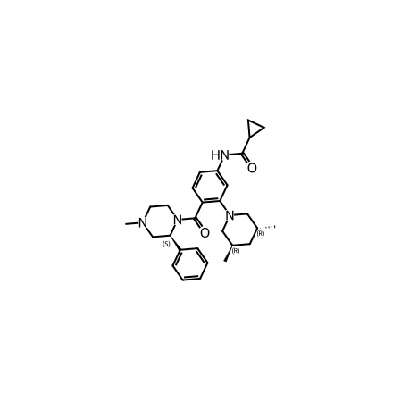 C[C@@H]1C[C@@H](C)CN(c2cc(NC(=O)C3CC3)ccc2C(=O)N2CCN(C)C[C@@H]2c2ccccc2)C1